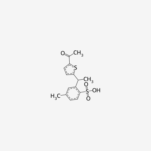 CC(=O)c1ccc(C(C)c2cc(C)ccc2S(=O)(=O)O)s1